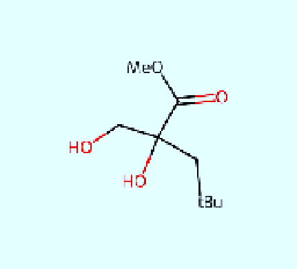 COC(=O)C(O)(CO)CC(C)(C)C